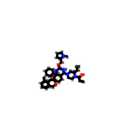 C=CC(=O)N1CCN(C2NC(OCC3CCCN3C)NC3(C4CCCCC4)C(=O)[C@@]4(CCC23)Cc2c(C)cccc2CO4)CC1CC#N